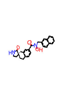 O=C(c1ccc2c(c1)C[C@@]1(CCNC1=O)CC2)N(O)Cc1ccc2ccccc2c1